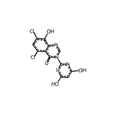 O=c1c2c(Cl)cc(Cl)c(O)c2ncn1-c1nc(O)cc(O)n1